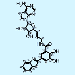 Nc1ncnc2c1ncn2C1OC(C=CCNC(=O)c2cc(-c3nc4ccccc4s3)cc(O)c2O)C(O)C1O